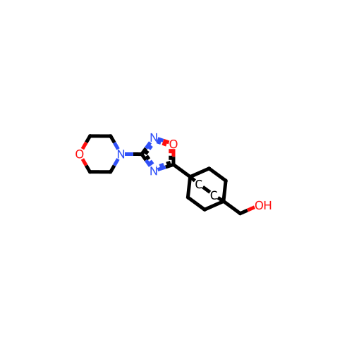 OCC12CCC(c3nc(N4CCOCC4)no3)(CC1)CC2